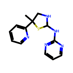 CC1(c2ccccn2)CNC(Nc2ncccn2)S1